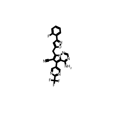 N#Cc1c(-c2cnc(C(F)(F)F)nc2)c2c(N)ncnn2c1Cc1cc(-c2ccccc2F)no1